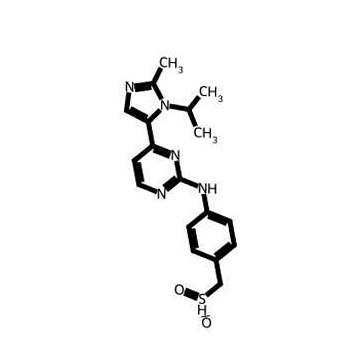 Cc1ncc(-c2ccnc(Nc3ccc(C[SH](=O)=O)cc3)n2)n1C(C)C